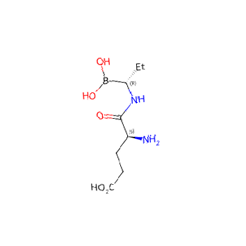 CC[C@H](NC(=O)[C@@H](N)CCC(=O)O)B(O)O